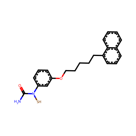 NC(=O)N(S)c1cccc(OCCCCCc2cccc3ccccc23)c1